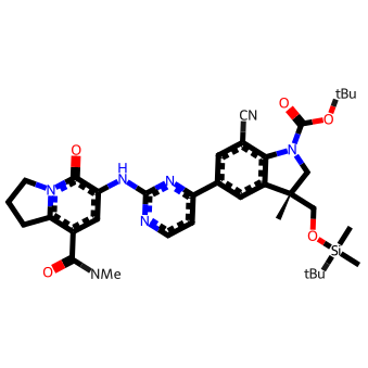 CNC(=O)c1cc(Nc2nccc(-c3cc(C#N)c4c(c3)[C@@](C)(CO[Si](C)(C)C(C)(C)C)CN4C(=O)OC(C)(C)C)n2)c(=O)n2c1CCC2